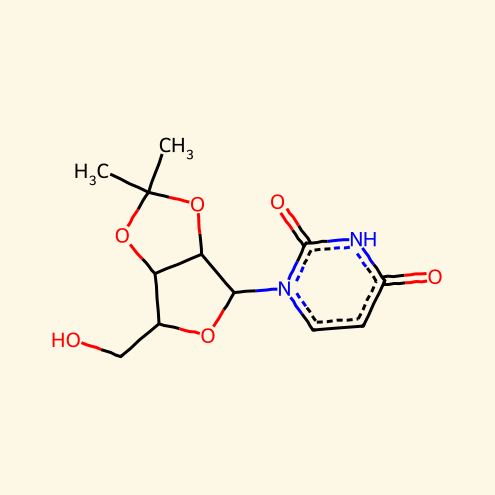 CC1(C)OC2C(CO)OC(n3ccc(=O)[nH]c3=O)C2O1